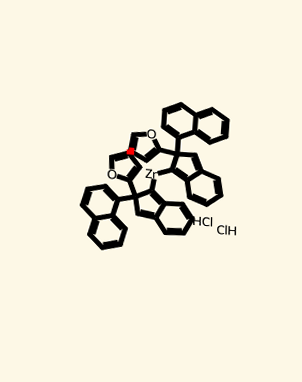 C1=c2ccccc2=[C]([Zr][C]2=c3ccccc3=CC2(c2ccco2)c2cccc3ccccc23)C1(c1ccco1)c1cccc2ccccc12.Cl.Cl